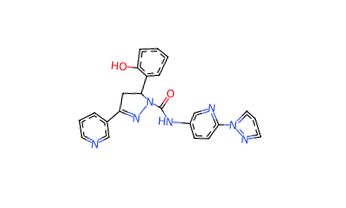 O=C(Nc1ccc(-n2cccn2)nc1)N1N=C(c2cccnc2)CC1c1ccccc1O